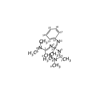 CC(=NP(C)(N=C(C)N(C)C)=Nc1ccccc1)N(C)C